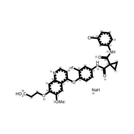 COc1cc2c(Oc3ccc(NC(=O)C4(C(=O)Nc5cccc(Cl)c5)CC4)cc3F)ccnc2cc1OCCC(=O)O.[NaH]